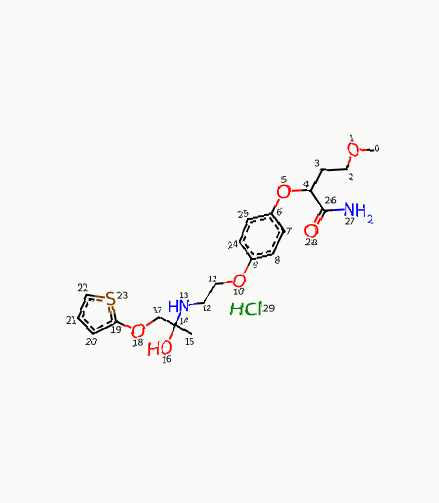 COCCC(Oc1ccc(OCCNC(C)(O)COc2cccs2)cc1)C(N)=O.Cl